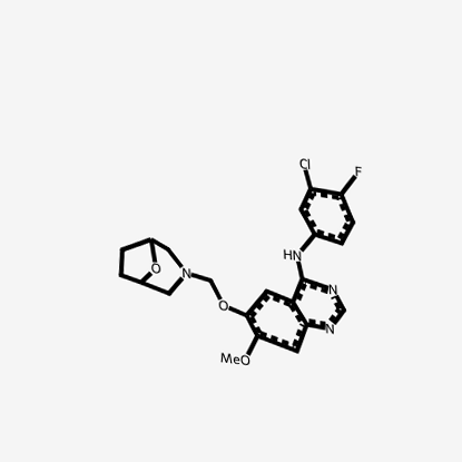 COc1cc2ncnc(Nc3ccc(F)c(Cl)c3)c2cc1OCN1CC2CCC(C1)O2